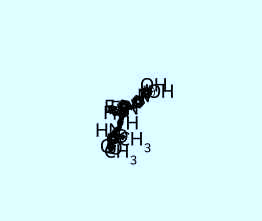 COc1cc(S(C)(=O)=O)ccc1NCC#Cc1cc2c(NC3CCC(N4C[C@@H](O)[C@H](O)C4)CC3)cccc2n1CC(F)(F)F